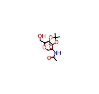 CC(=O)NC12COC(CO)(CCO1)C1OC(C)(C)OC12